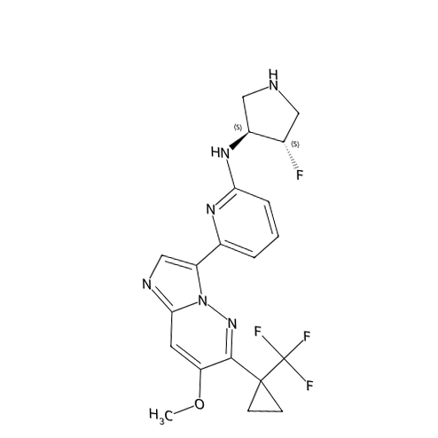 COc1cc2ncc(-c3cccc(N[C@H]4CNC[C@@H]4F)n3)n2nc1C1(C(F)(F)F)CC1